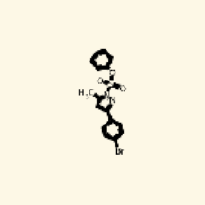 Cc1cc(-c2ccc(Br)cc2)nn1S(=O)(=O)Oc1ccccc1